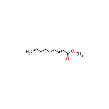 C=CCCCCC=CC(=O)OC